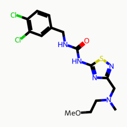 COCCN(C)Cc1nsc(NC(=O)NCc2ccc(Cl)c(Cl)c2)n1